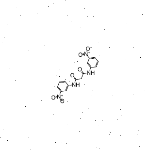 O=C(CC(=O)Nc1cccc([N+](=O)[O-])c1)Nc1cccc([N+](=O)[O-])c1